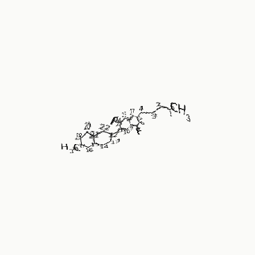 CC=CCCc1cc(F)c2cc(C3CCC4CC(C)CCC4C3)c(F)cc2c1